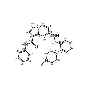 CN1CCN(c2ccccc2CNc2ccn3ncc(C(=O)Nc4ccccc4)c3n2)CC1